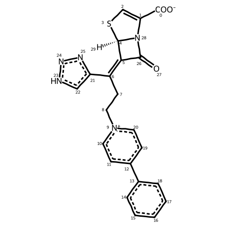 O=C([O-])C1=CS[C@@H]2/C(=C(/CC[n+]3ccc(-c4ccccc4)cc3)c3c[nH]nn3)C(=O)N12